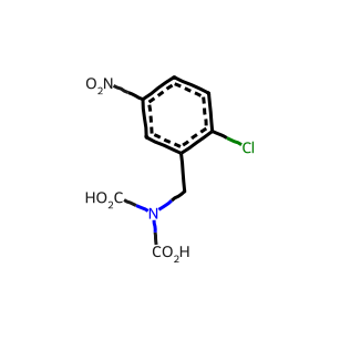 O=C(O)N(Cc1cc([N+](=O)[O-])ccc1Cl)C(=O)O